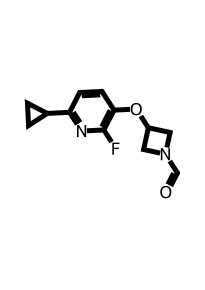 O=CN1CC(Oc2ccc(C3CC3)nc2F)C1